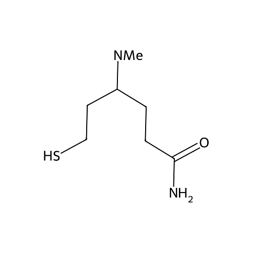 CNC(CCS)CCC(N)=O